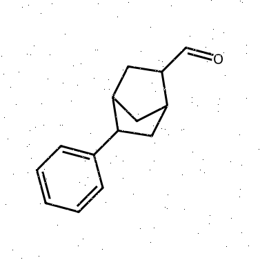 O=CC1CC2CC1CC2c1ccccc1